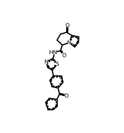 O=C(c1ccccc1)c1ccc(-c2cnc(NC(=O)C3CCC(=O)c4cccn43)s2)cc1